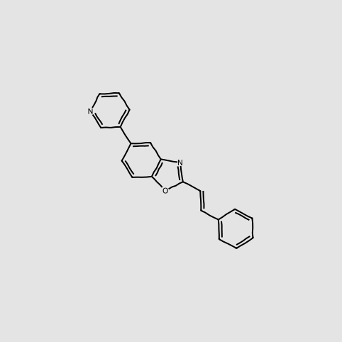 C(=Cc1nc2cc(-c3cccnc3)ccc2o1)c1ccccc1